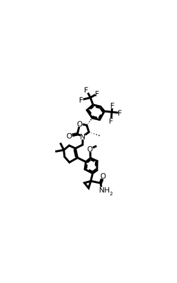 COc1ccc(C2(C(N)=O)CC2)cc1C1=C(CN2C(=O)O[C@H](c3cc(C(F)(F)F)cc(C(F)(F)F)c3)[C@@H]2C)CC(C)(C)CC1